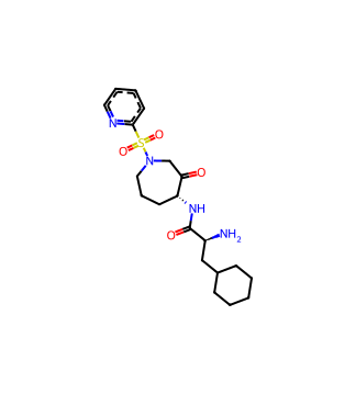 N[C@@H](CC1CCCCC1)C(=O)N[C@@H]1CCCN(S(=O)(=O)c2ccccn2)CC1=O